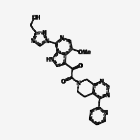 COc1cnc(-n2cnc(CO)n2)c2[nH]cc(C(=O)C(=O)N3CCc4c(ncnc4-c4ccccn4)C3)c12